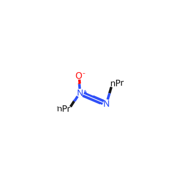 CCCN=[N+]([O-])CCC